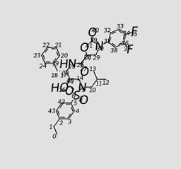 CCc1ccc(S(=O)(=O)N(CC(C)C)C[C@@H](O)[C@H](Cc2ccccc2)NC(=O)[C@@H]2CN(c3ccc(F)c(F)c3)C(=O)O2)cc1